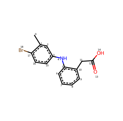 Cc1cc(Nc2ccccc2CC(=O)O)ccc1Br